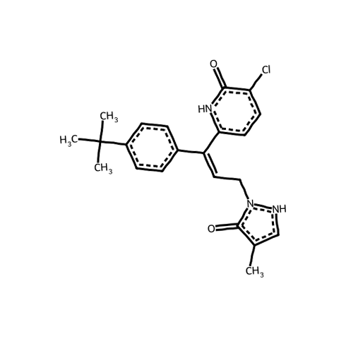 Cc1c[nH]n(CC=C(c2ccc(C(C)(C)C)cc2)c2ccc(Cl)c(=O)[nH]2)c1=O